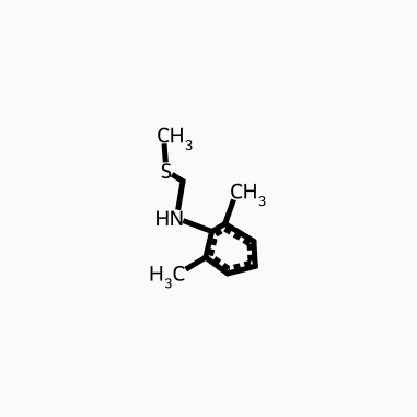 CSCNc1c(C)cccc1C